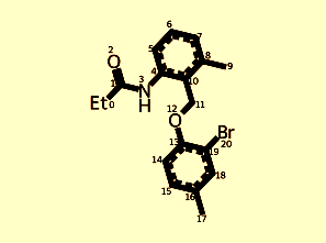 CCC(=O)Nc1cccc(C)c1COc1ccc(C)cc1Br